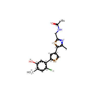 Cc1nc(CNC(=O)C(C)(C)C)sc1-c1csc(-c2cc(O)c(C(=O)O)cc2F)c1